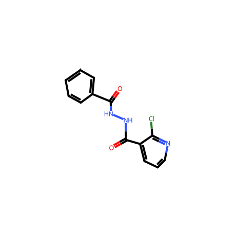 O=C(NNC(=O)c1cccnc1Cl)c1c[c]ccc1